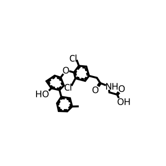 Cc1cccc(-c2cc(Oc3c(Cl)cc(CC(=O)NCC(=O)O)cc3Cl)ccc2O)c1